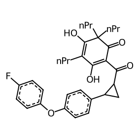 CCCC1=C(O)C(CCC)(CCC)C(=O)C(C(=O)C2CC2c2ccc(Oc3ccc(F)cc3)cc2)=C1O